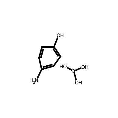 Nc1ccc(O)cc1.OB(O)O